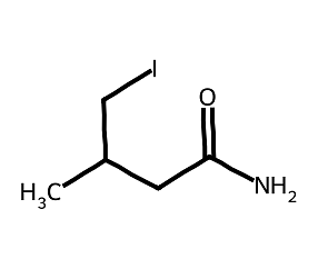 CC(CI)CC(N)=O